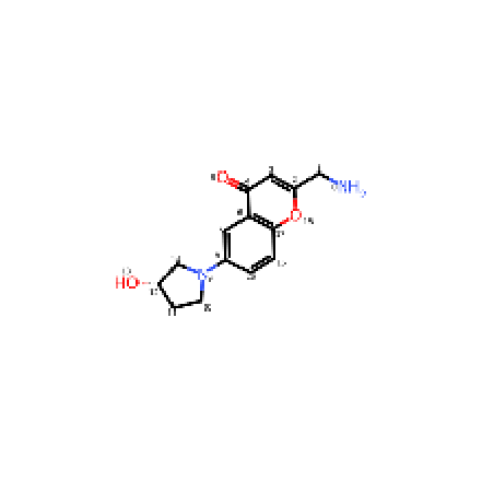 NCc1cc(=O)c2cc(N3CC[C@H](O)C3)ccc2o1